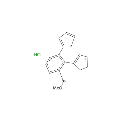 C[O][Zr][c]1cccc(C2=CC=CC2)c1C1=CC=CC1.Cl